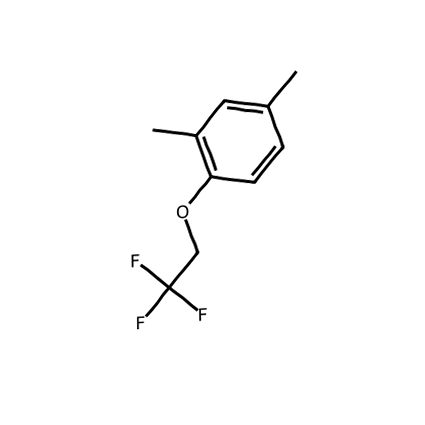 Cc1ccc(OCC(F)(F)F)c(C)c1